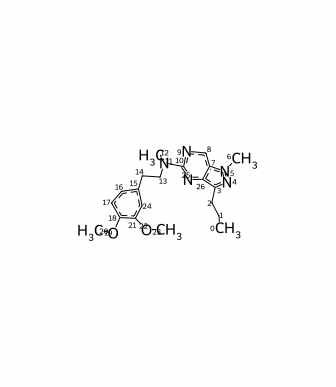 CCCc1nn(C)c2cnc(N(C)CCc3ccc(OC)c(OC)c3)nc12